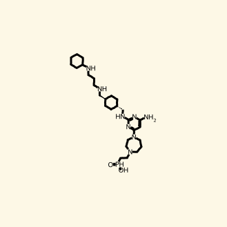 Nc1cc(N2CCCN(CC[PH](=O)O)CC2)nc(NC[C@H]2CC[C@H](CNCCCNC3CCCCC3)CC2)n1